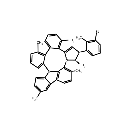 CCc1cccc(N2C=c3c4c(C)cccc4c4c(C)cccc4n4c5ccc(C)cc5c5ccc(C)c(c54)n3[C@@H]2C)c1C